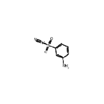 N#[N+]S(=O)(=O)c1cccc(N)c1